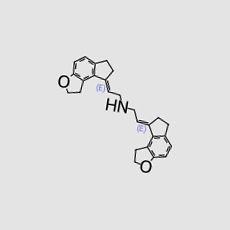 C(/CNC/C=C1\CCc2ccc3c(c21)CCO3)=C1/CCc2ccc3c(c21)CCO3